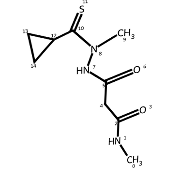 CNC(=O)CC(=O)NN(C)C(=S)C1CC1